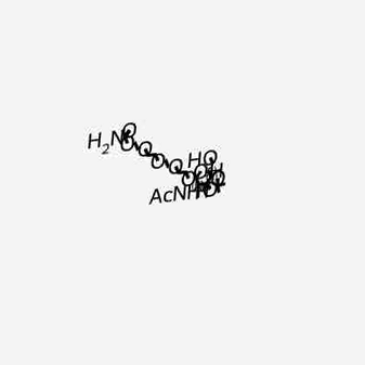 CC(=O)N[C@H]1C(OCCOCCOCCOCCOC(N)=O)O[C@H](CO)[C@@H]2OC(C)(C)O[C@@H]21